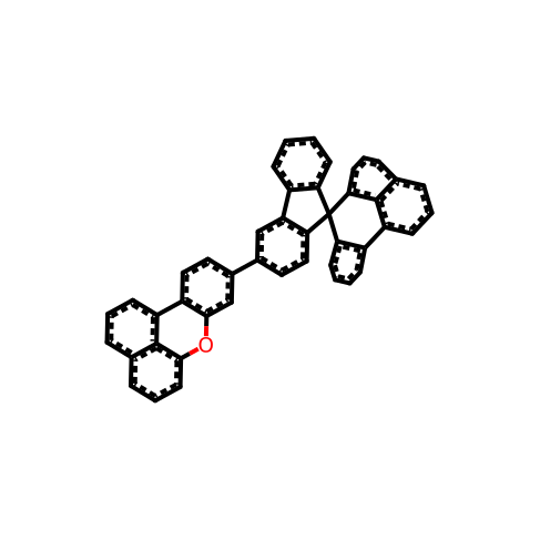 c1ccc2c(c1)-c1cc(-c3ccc4c(c3)Oc3cccc5cccc-4c35)ccc1C21c2ccccc2-c2cccc3cccc1c23